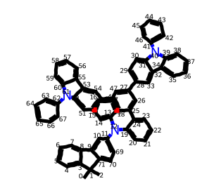 CC1(C)c2ccccc2-c2cc(N(c3ccccc3)c3ccccc3-c3cc(-c4ccc5c(c4)c4ccccc4n5-c4ccccc4)cc(-c4ccc5c(c4)c4ccccc4n5-c4ccccc4)c3)ccc21